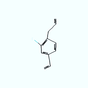 C=CCc1ccc(C=C)cc1F